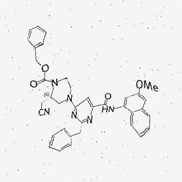 COc1cc(NC(=O)c2cc(N3CCN(C(=O)OCc4ccccc4)[C@@H](CC#N)C3)nc(Cc3ccccc3)n2)c2ccccc2c1